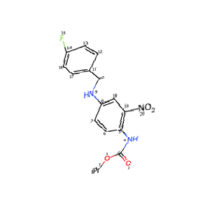 CC(C)OC(=O)Nc1ccc(NCc2ccc(F)cc2)cc1[N+](=O)[O-]